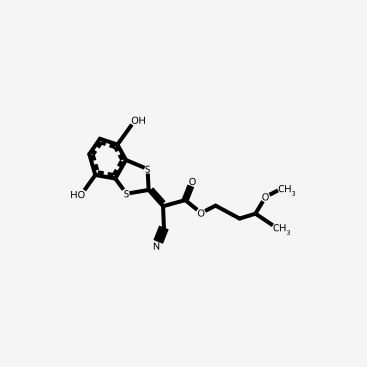 COC(C)CCOC(=O)C(C#N)=C1Sc2c(O)ccc(O)c2S1